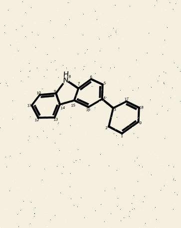 C1=CCC(c2ccc3[nH]c4ccccc4c3c2)C=C1